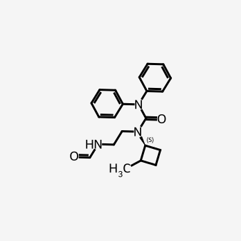 CC1CC[C@@H]1N(CCNC=O)C(=O)N(c1ccccc1)c1ccccc1